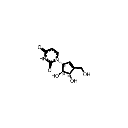 O=c1ccn([C@@H]2C=C(CO)[C@@H](O)[C@H]2O)c(=O)[nH]1